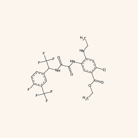 CCNc1cc(Cl)c(C(=O)OCC)cc1NC(=O)C(=O)NC(c1ccc(F)c(C(F)(F)F)c1)C(F)(F)F